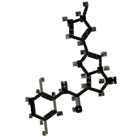 Cc1cnc(C)c(NC(=O)C2=C3SC(c4cnn(C)c4)=CN3NC2)c1